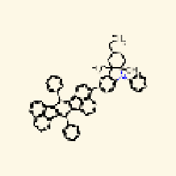 CCC1CCC2(C)N(c3ccccc3)c3ccc(-c4ccc5c6c(-c7ccccc7)c7c8cccc9cccc(c7c(-c7ccccc7)c6c6cccc4c65)c98)cc3C2(C)C1